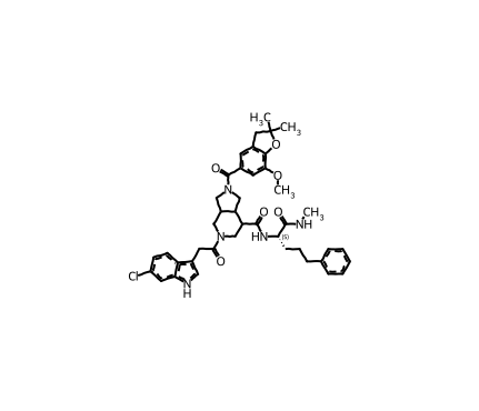 CNC(=O)[C@H](CCCc1ccccc1)NC(=O)C1CN(C(=O)Cc2c[nH]c3cc(Cl)ccc23)CC2CN(C(=O)c3cc4c(c(OC)c3)OC(C)(C)C4)CC21